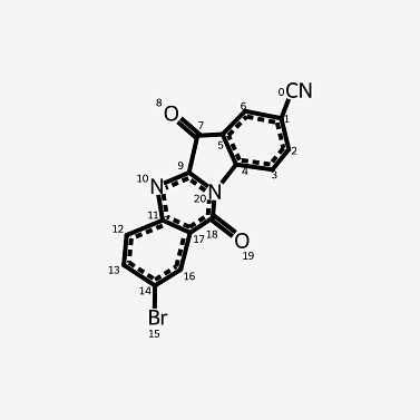 N#Cc1ccc2c(c1)C(=O)c1nc3ccc(Br)cc3c(=O)n1-2